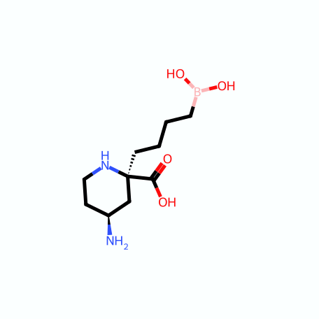 N[C@H]1CCN[C@@](CCCCB(O)O)(C(=O)O)C1